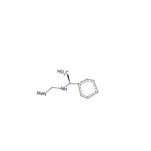 CNCN[C@@H](C(=O)O)c1ccccc1